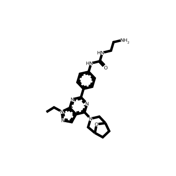 CCn1ncc2c(N3CC4CCC(C3)O4)nc(-c3ccc(NC(=O)NCCN)cc3)nc21